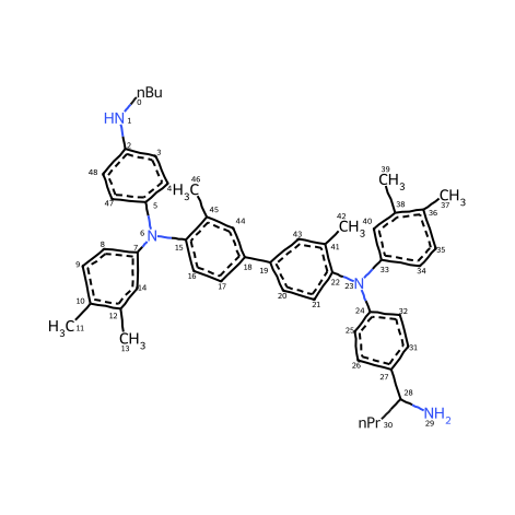 CCCCNc1ccc(N(c2ccc(C)c(C)c2)c2ccc(-c3ccc(N(c4ccc(C(N)CCC)cc4)c4ccc(C)c(C)c4)c(C)c3)cc2C)cc1